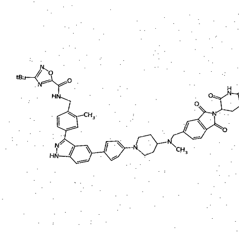 Cc1cc(-c2n[nH]c3ccc(-c4ccc(N5CCC(N(C)Cc6ccc7c(c6)C(=O)N(C6CCC(=O)NC6=O)C7=O)CC5)cc4)cc23)ccc1CNC(=O)c1nc(C(C)(C)C)no1